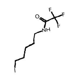 O=C(NCCCCCI)C(F)(F)F